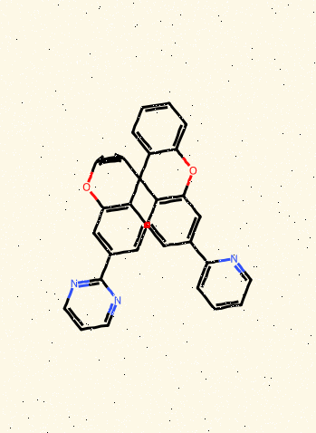 c1ccc(-c2ccc3c(c2)Oc2ccccc2C32c3ccccc3Oc3cc(-c4ncccn4)ccc32)nc1